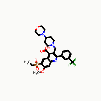 CCS(=O)(=O)c1cc2c(C(=O)O)c(CN3CCC(N4CCOCC4)CC3)c(-c3cccc(C(F)(F)F)c3)nc2cc1OC